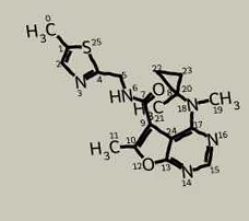 Cc1cnc(CNC(=O)c2c(C)oc3ncnc(N(C)C4(C)CC4)c23)s1